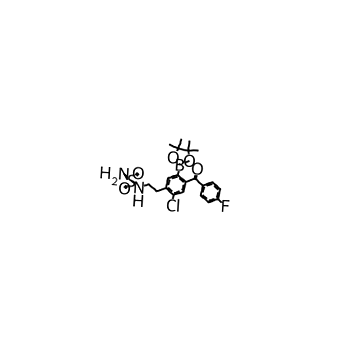 CC1(C)OB(c2cc(CCNS(N)(=O)=O)c(Cl)cc2C(=O)c2ccc(F)cc2)OC1(C)C